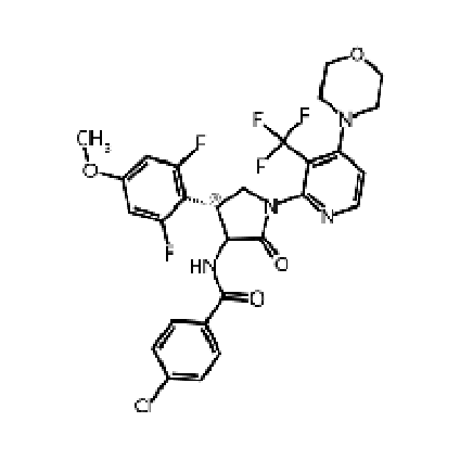 COc1cc(F)c([C@@H]2CN(c3nccc(N4CCOCC4)c3C(F)(F)F)C(=O)C2NC(=O)c2ccc(Cl)cc2)c(F)c1